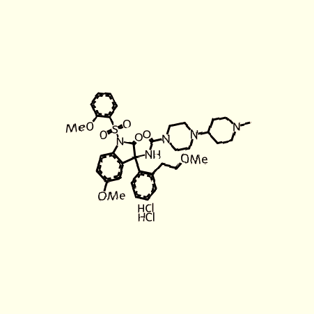 COCCc1ccccc1C1(NC(=O)N2CCN(C3CCN(C)CC3)CC2)C(=O)N(S(=O)(=O)c2ccccc2OC)c2ccc(OC)cc21.Cl.Cl